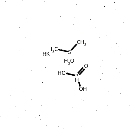 CSC.O.O=[PH](O)O.[KH]